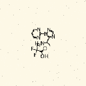 CC(N)c1ncnn1-c1ncccn1.O=C(O)C(F)(F)F